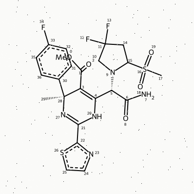 COC(=O)C1=C([C@@H](C(N)=O)N2CC(F)(F)CC2S(C)(=O)=O)NC(c2nccs2)=N[C@@]1(C)c1ccc(F)cc1